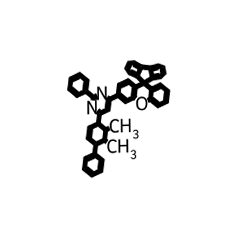 CC1C(c2ccccc2)C=CC(c2cc(-c3ccc4c(c3)Oc3ccccc3C43c4ccccc4-c4ccccc43)nc(-c3ccccc3)n2)C1C